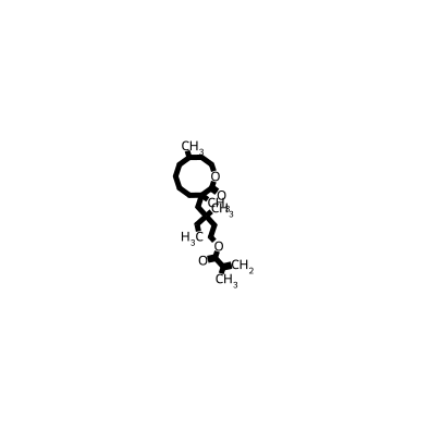 C=C(C)C(=O)OCCC(C)(CC)CC1(C)CCCCC(C)CCOC1=O